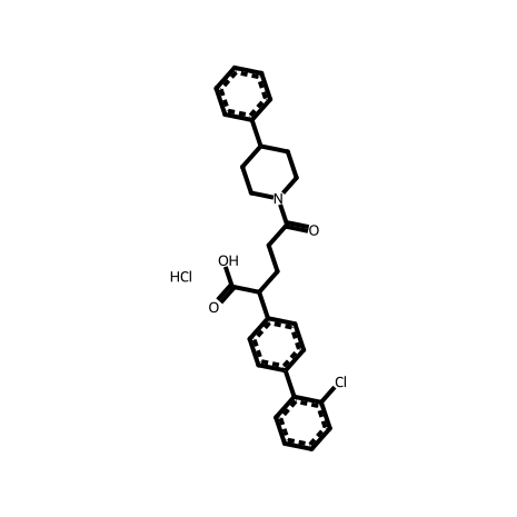 Cl.O=C(O)C(CCC(=O)N1CCC(c2ccccc2)CC1)c1ccc(-c2ccccc2Cl)cc1